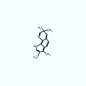 CC1=CNc2c3c(ccc2=C1C)=CC(C)(C)C=N3